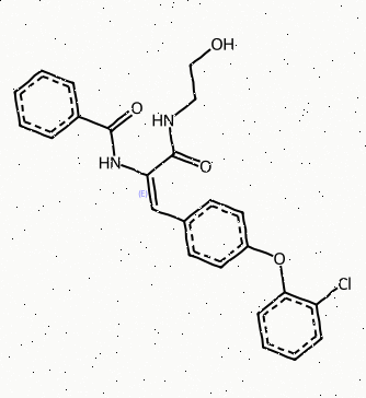 O=C(NCCO)/C(=C\c1ccc(Oc2ccccc2Cl)cc1)NC(=O)c1ccccc1